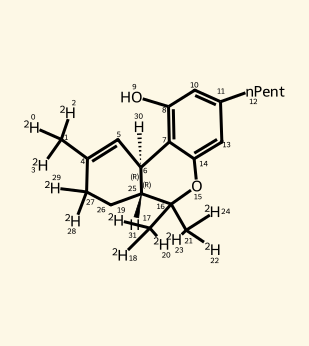 [2H]C([2H])([2H])C1=C[C@H]2c3c(O)cc(CCCCC)cc3OC(C([2H])([2H])[2H])(C([2H])([2H])[2H])[C@@H]2CC1([2H])[2H]